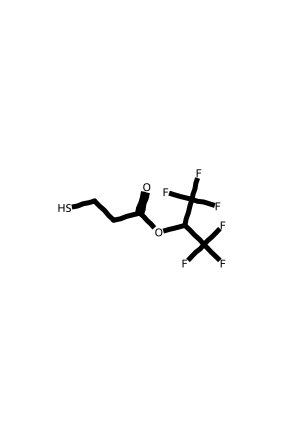 O=C(CCS)OC(C(F)(F)F)C(F)(F)F